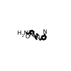 N#Cc1cccc(CN2CCN(c3cc[c]c(C(N)=O)n3)CC2)c1